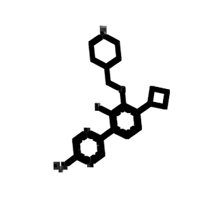 Nc1cnc(-c2ccc(C3CCC3)c(OCC3CCNCC3)c2F)cn1